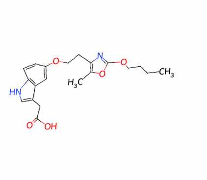 CCCCOc1nc(CCOc2ccc3[nH]cc(CC(=O)O)c3c2)c(C)o1